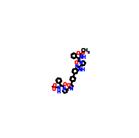 COC(=O)N[C@@H](C(=O)N1CCC[C@H]1c1nc2ccc(-c3ccc(-c4cnc([C@@H]5CCCN5C(=O)[C@H](NC5OCO5)c5ccccc5)o4)cc3)cc2[nH]1)c1ccccc1